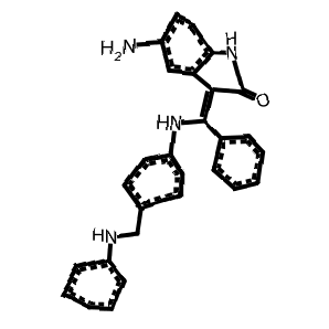 Nc1ccc2c(c1)C(=C(Nc1ccc(CNc3ccccc3)cc1)c1ccccc1)C(=O)N2